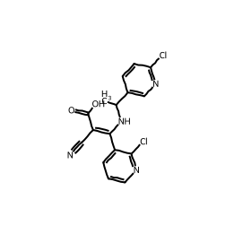 CC(N/C(=C(/C#N)C(=O)O)c1cccnc1Cl)c1ccc(Cl)nc1